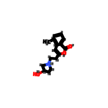 Cc1cccc2c(=O)oc(CCN3CC[C@@H](O)C3)cc12